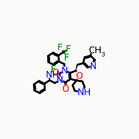 Cc1cncc(C[C@H]2OC3(CCNCC3)c3c2n(Cc2c(F)cccc2C(F)(F)F)c(=O)n(C[C@H](N)c2ccccc2)c3=O)c1